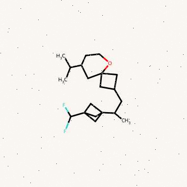 CC(C)C1CCOC2(CC(CC(C)C34CC(C(F)F)(C3)C4)C2)C1